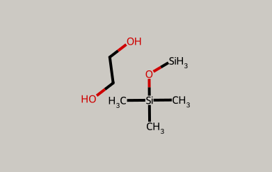 C[Si](C)(C)O[SiH3].OCCO